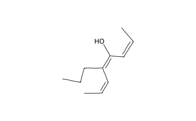 C\C=C/C(O)=C(\C=C/C)CCC